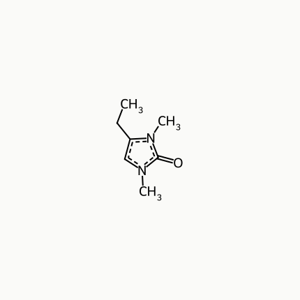 CCc1cn(C)c(=O)n1C